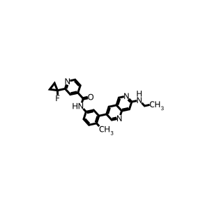 CCNc1cc2ncc(-c3cc(NC(=O)c4ccnc(C5(F)CC5)c4)ccc3C)cc2cn1